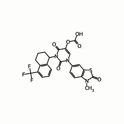 Cn1c(=O)sc2cc(-n3cc(OC(=O)O)c(=O)n(C4CCCc5c4cccc5C(F)(F)F)c3=O)ccc21